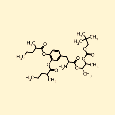 CCCC(C)C(=O)Oc1ccc(C[C@H](N)C(=O)O[C@@H](C)C(C)OC(=O)OCC(C)(C)C)cc1OC(=O)C(C)CCC